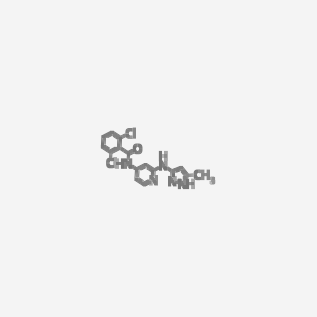 Cc1cc(Nc2cc(NC(=O)c3c(Cl)cccc3Cl)ccn2)n[nH]1